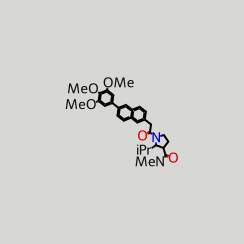 CNC(=O)C1CCN(C(=O)Cc2ccc3cc(-c4cc(OC)c(OC)c(OC)c4)ccc3c2)C1C(C)C